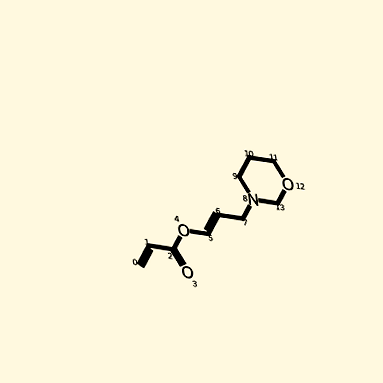 C=CC(=O)OC=CCN1CCCOC1